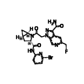 NC(=O)c1nn(CC(=O)N2[C@@H]3C[C@@H]3C[C@H]2C(=O)Nc2cccc(Br)n2)c2cnc(CF)cc12